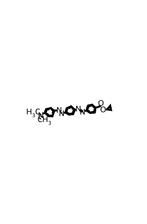 CN(C)c1ccc(N=Nc2ccc(N=Nc3ccc(C(=O)OC4CC4)cc3)cc2)cc1